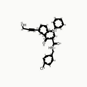 O=C(NCc1ccc(Cl)cc1)c1cn(-c2ccccc2)c2ccc(C#CCO)cc2c1=O